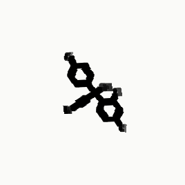 OC(C#CBr)(c1ccc(Cl)cc1)c1ccc(Cl)cc1Cl